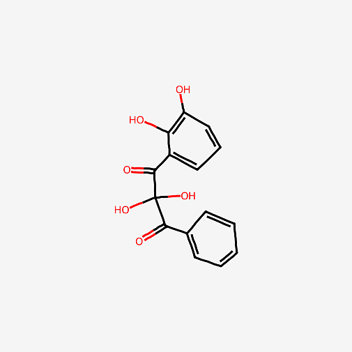 O=C(c1ccccc1)C(O)(O)C(=O)c1cccc(O)c1O